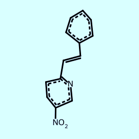 O=[N+]([O-])c1ccc(C=Cc2ccccc2)nc1